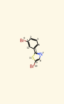 Brc1[c]ccc(-c2ncc(Br)s2)c1